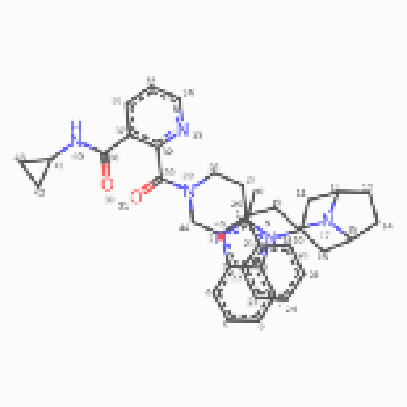 Cc1nc2ccccc2n1C1CC2CCC(C1)N2CCC1(c2ccccc2)CCN(C(=O)c2ncccc2C(=O)NC2CC2)CC1